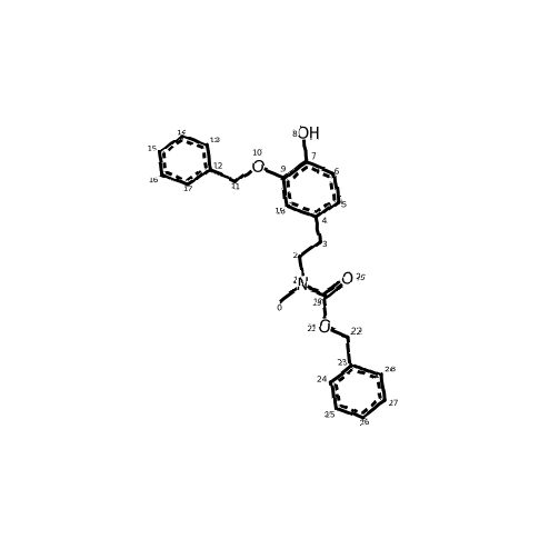 CN(CCc1ccc(O)c(OCc2ccccc2)c1)C(=O)OCc1ccccc1